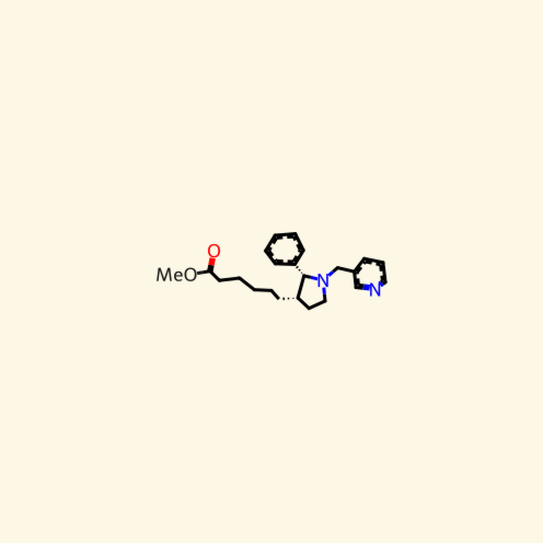 COC(=O)CCCCC[C@H]1CCN(Cc2cccnc2)[C@H]1c1ccccc1